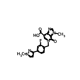 Cn1ccc(-c2ccc(Cn3cc(C(=O)O)c4ncn(C)c4c3=O)c(F)c2)n1